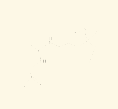 CO[Si](CCCNC(C)NCC(=O)O)(OC)OC